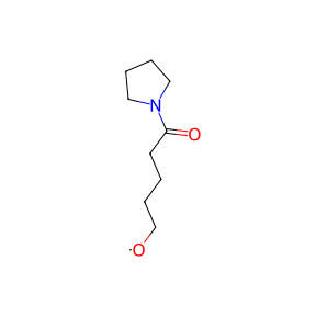 [O]CCCCC(=O)N1CCCC1